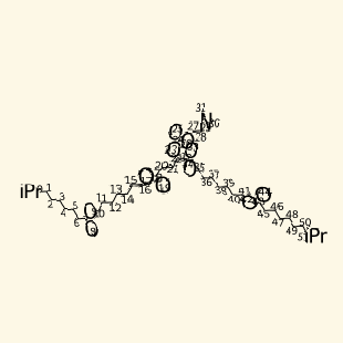 CC(C)CCCCCCC(=O)OCCCCCCCOC(=O)CCC(OC(=O)OCCN(C)C)C(=O)OCCCCCCCOC(=O)CCCCCCC(C)C